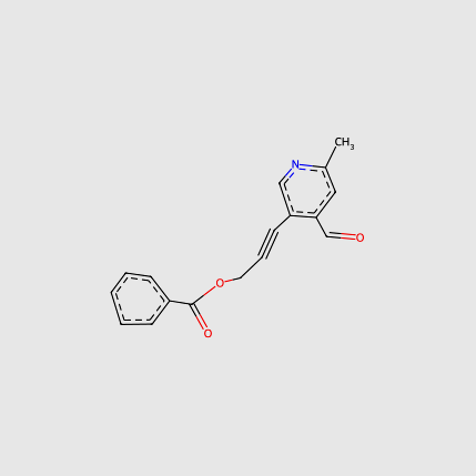 Cc1cc(C=O)c(C#CCOC(=O)c2ccccc2)cn1